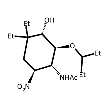 CCC(CC)O[C@H]1[C@H](NC(C)=O)[C@@H]([N+](=O)[O-])CC(CC)(CC)[C@@H]1O